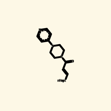 CCCCCCC/C=C/C(=O)N1CCN(c2ccncc2)CC1